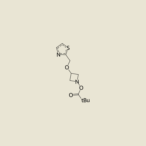 CC(C)(C)C(=O)ON1CC(OCc2nccs2)C1